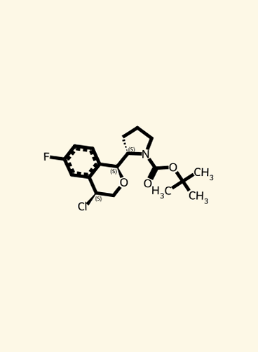 CC(C)(C)OC(=O)N1CCC[C@H]1[C@H]1OC[C@@H](Cl)c2cc(F)ccc21